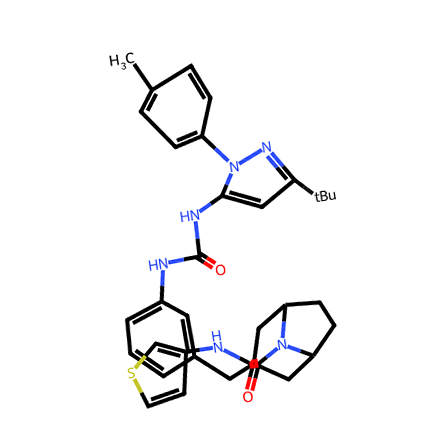 Cc1ccc(-n2nc(C(C)(C)C)cc2NC(=O)Nc2cccc(CC3CC4CCC(C3)N4C(=O)Nc3ccsc3)c2)cc1